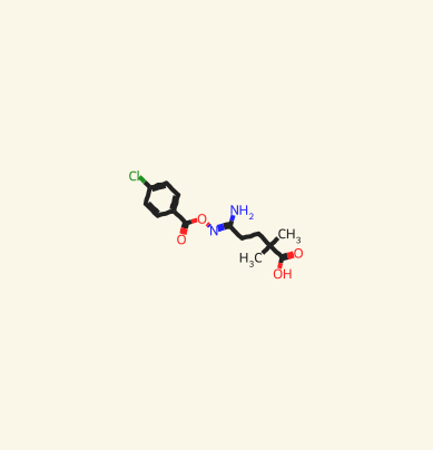 CC(C)(CCC(N)=NOC(=O)c1ccc(Cl)cc1)C(=O)O